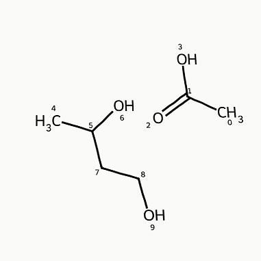 CC(=O)O.CC(O)CCO